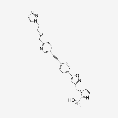 C[C@H](O)c1nccn1Cc1cc(-c2ccc(C#Cc3ccc(COCCn4ccnn4)nc3)cc2)on1